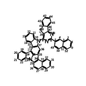 c1ccc2cc(-c3nc(-n4c5ccccc5c5c6c7ccccc7n7c8ccc9ccccc9c8c(cc54)c67)c4sc5ccccc5c4n3)ccc2c1